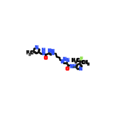 CC(C)(F)c1cncc(CNC(=O)c2cn(CCCCn3cc(C(=O)NCc4cncc(C(F)(F)F)c4)nn3)nn2)c1